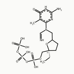 CC[C@@]1(COP(=O)(O)OP(=O)(O)OP(=O)(O)O)CCC(CN(C=N)c2nc(N)[nH]c(=O)c2C)O1